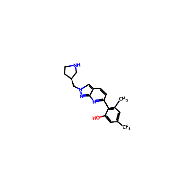 Cc1cc(C(F)(F)F)cc(O)c1-c1ccc2cn(C[C@H]3CCNC3)nc2n1